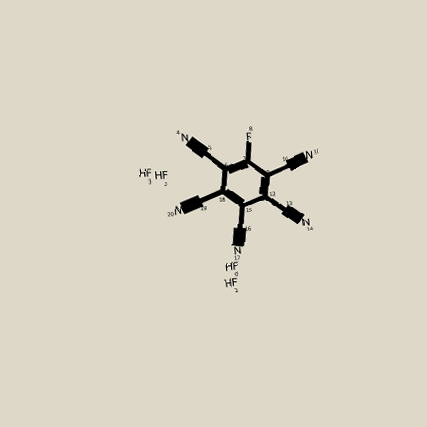 F.F.F.F.N#Cc1c(F)c(C#N)c(C#N)c(C#N)c1C#N